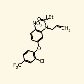 C=CCN(c1cc(Oc2ccc(C(F)(F)F)cc2Cl)ccc1[N+](=O)[O-])[PH](=O)CC